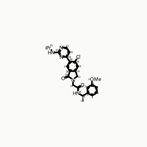 COc1cccc([C@@H](C)NC(=O)CN2Cc3cc(Cl)c(-c4ccnc(NC(C)C)n4)cc3C2=O)c1